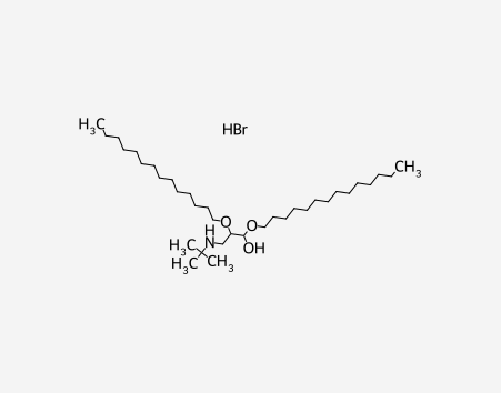 Br.CCCCCCCCCCCCCCOC(O)C(CNC(C)(C)C)OCCCCCCCCCCCCCC